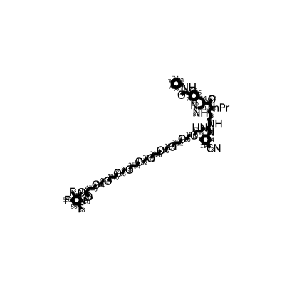 CCCN(CCCN/C(=N/c1cccc(C#N)c1)NCCOCCOCCOCCOCCOCCOCCOCCOCCOCCOCCC(=O)Oc1c(F)c(F)cc(F)c1F)C(=O)C1=Cc2ccc(C(=O)Nc3ccccc3)cc2N=C(N)C1